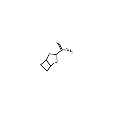 NC(=O)C1CC2CCC2O1